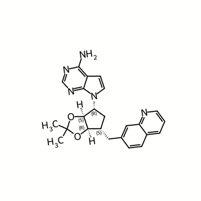 CC1(C)O[C@@H]2[C@@H](Cc3ccc4cccnc4c3)C[C@@H](n3ccc4c(N)ncnc43)[C@@H]2O1